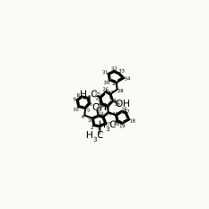 Cc1cc(Cc2ccccc2)c(O)c(C(c2ccccc2C)c2cc(C)cc(Cc3ccccc3)c2O)c1